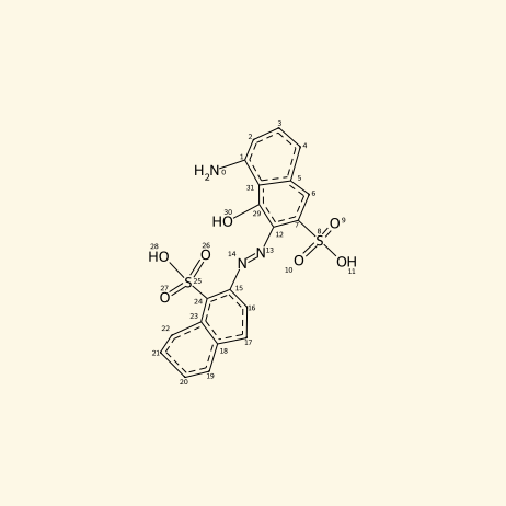 Nc1cccc2cc(S(=O)(=O)O)c(N=Nc3ccc4ccccc4c3S(=O)(=O)O)c(O)c12